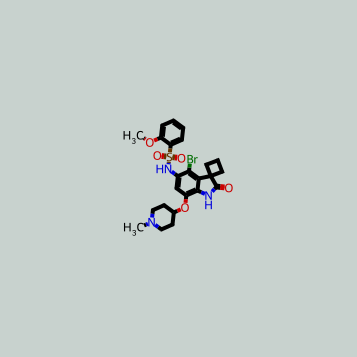 COc1ccccc1S(=O)(=O)Nc1cc(OC2CCN(C)CC2)c2c(c1Br)C1(CCC1)C(=O)N2